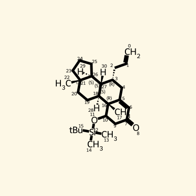 C=CC[C@@H]1CC2=CC(=O)CC(O[Si](C)(C)C(C)(C)C)[C@]2(C)[C@H]2CC[C@]3(C)CCC[C@H]3[C@H]12